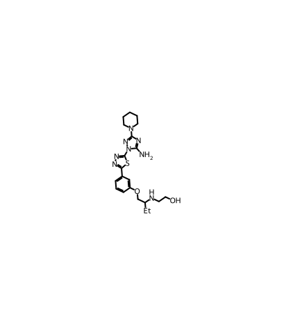 CCC(COc1cccc(-c2nnc(-n3nc(N4CCCCC4)nc3N)s2)c1)NCCO